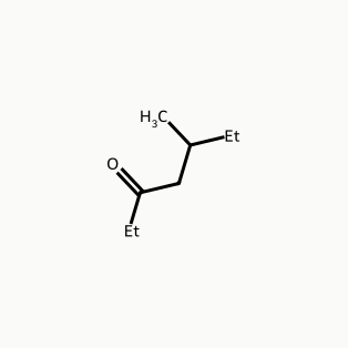 CCC(=O)CC(C)CC